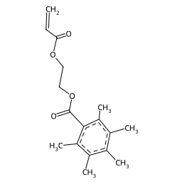 C=CC(=O)OCCOC(=O)c1c(C)c(C)c(C)c(C)c1C